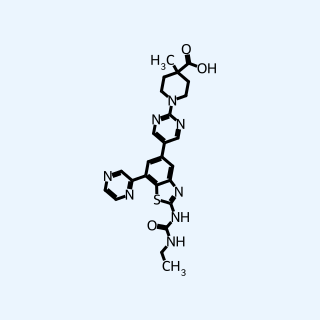 CCNC(=O)Nc1nc2cc(-c3cnc(N4CCC(C)(C(=O)O)CC4)nc3)cc(-c3cnccn3)c2s1